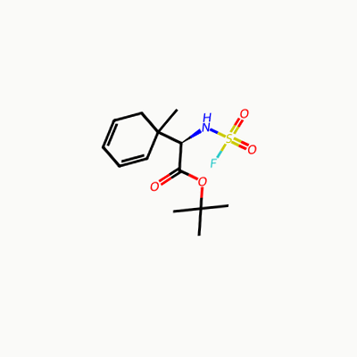 CC(C)(C)OC(=O)[C@H](NS(=O)(=O)F)C1(C)C=CC=CC1